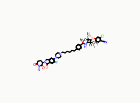 CC1(C)C(NC(=O)c2ccc(CCCCCCN3CCN(c4cc5c(cc4F)C(=O)N(C4CCC(=O)NC4=O)C5)CC3)cc2)C(C)(C)C1Oc1ccc(C#N)c(Cl)c1